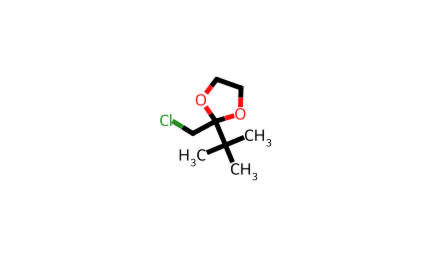 CC(C)(C)C1(CCl)OCCO1